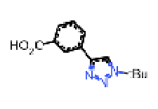 CC(C)(C)n1cc(-c2cccc(C(=O)O)c2)nn1